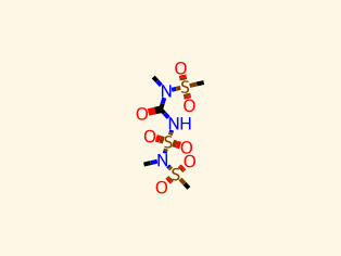 CN(C(=O)NS(=O)(=O)N(C)S(C)(=O)=O)S(C)(=O)=O